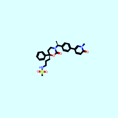 C[C@@H](c1ccc(-c2ccc(=O)n(C)c2)cc1)N1CC[C@@](CCCNS(C)(=O)=O)(c2ccccc2)OC1=O